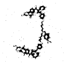 Cc1c(C(=O)c2ccc3c(=O)n(CC(=O)O)c(=O)[nH]c3c2)c2ccccn2c1-c1ccc(OCCCCCN(CCCCCOc2ccc(-c3c(C)c(C(=O)c4ccc5c(=O)n(CC(=O)O)c(=O)[nH]c5c4)c4ccccn34)cc2)Cc2ccc(N(C)C)cc2)cc1